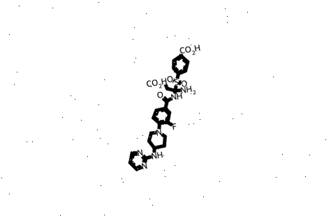 NC(CC(=O)O)(NC(=O)c1ccc(N2CCC(Nc3ncccn3)CC2)c(F)c1)S(=O)(=O)c1ccc(C(=O)O)cc1